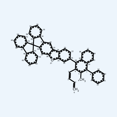 C=C/C=C\c1c(C)c(-c2ccccc2)c2ccccc2c1-c1ccc2c(c1)oc1cc3c(cc12)-c1ccccc1C31c2ccccc2-c2ccccc21